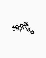 Cc1noc(-c2ccc(-c3ccc(C4(C(=O)O)CC4)cc3)cc2)c1CN1CCC(c2ccccc2)CC1